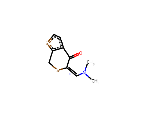 CN(C)/C=C1/SCc2sccc2C1=O